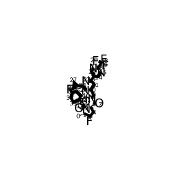 C[C@H]1[C@H](F)C[C@@H](C(=O)NCc2cc(-c3cnc(C(F)(F)F)nc3)nc(C3CC3)n2)N1S(=O)(=O)c1ccc(F)cc1